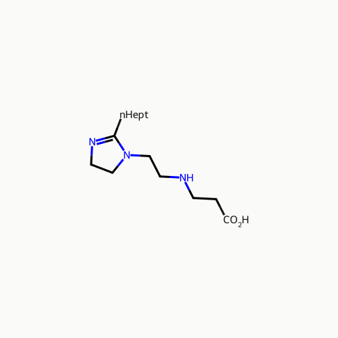 CCCCCCCC1=NCCN1CCNCCC(=O)O